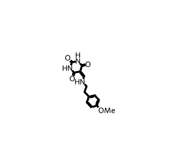 COc1ccc(CCNC=C2C(=O)NC(=O)NC2=O)cc1